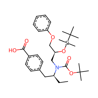 CC[C@@H](Cc1ccc(C(=O)O)cc1)N(C[C@@H](COc1ccccc1)O[Si](C)(C)C(C)(C)C)C(=O)OC(C)(C)C